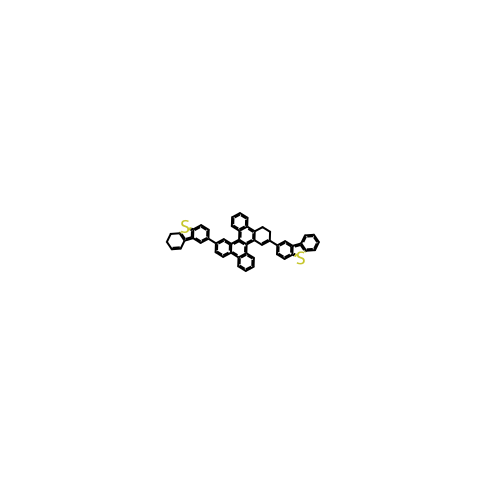 C1=Cc2c(sc3ccc(-c4ccc5c6ccccc6c6c7c(c8ccccc8c6c5c4)CCC(c4ccc5sc6ccccc6c5c4)=C7)cc23)CC1